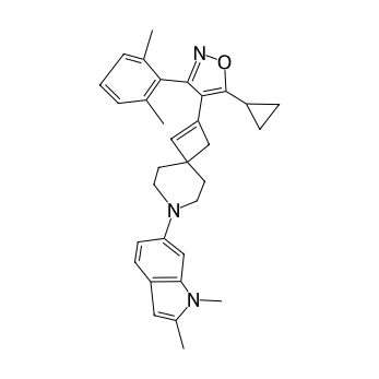 Cc1cccc(C)c1-c1noc(C2CC2)c1C1=CC2(CCN(c3ccc4cc(C)n(C)c4c3)CC2)C1